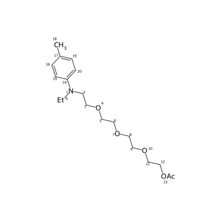 CCN(CCOCCOCCOCCOC(C)=O)c1ccc(C)cc1